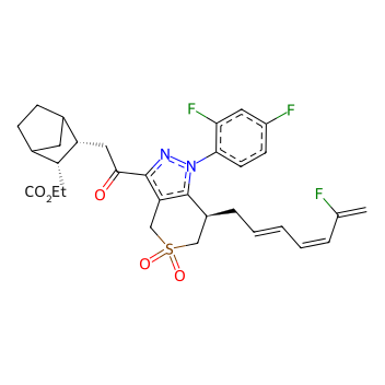 C=C(F)/C=C\C=C\C[C@H]1CS(=O)(=O)Cc2c(C(=O)C[C@H]3C4CCC(C4)[C@H]3C(=O)OCC)nn(-c3ccc(F)cc3F)c21